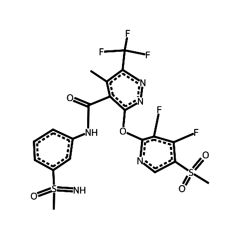 Cc1c(C(F)(F)F)nnc(Oc2ncc(S(C)(=O)=O)c(F)c2F)c1C(=O)Nc1cccc(S(C)(=N)=O)c1